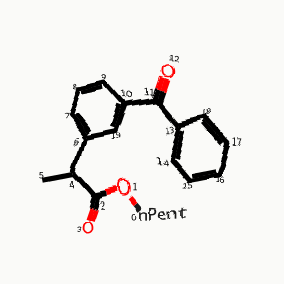 CCCCCOC(=O)C(C)c1cccc(C(=O)c2ccccc2)c1